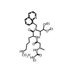 CCNC(=O)NN(C)CC(=O)NC(CCCCNC(=O)O)C(=O)N(Cc1cccc2cccnc12)C(C)C(OCC)OCC